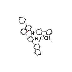 CC1(C)c2ccccc2-c2ccc(N(c3ccc(-c4ccccc4)cc3)c3cc(-c4ccc5ccccc5c4)ccc3-c3ccccc3)cc21